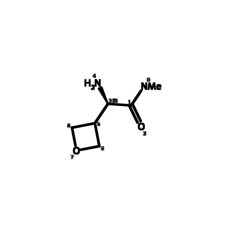 CNC(=O)[C@H](N)C1COC1